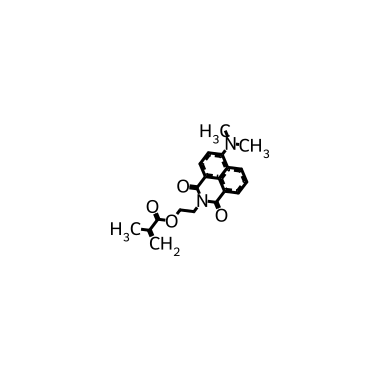 C=C(C)C(=O)OCCN1C(=O)c2cccc3c(N(C)C)ccc(c23)C1=O